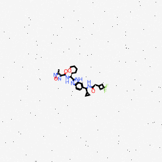 Cc1nonc1C(=O)NC(c1nc2ccc(C(NC(=O)CC3CC(F)(F)C3)C3CC3)cc2[nH]1)[C@@H]1CCCCO1